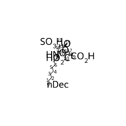 CCCCCCCCCCCCCCCCCCNC(=O)CC(C(=O)OCC(C(=O)O)C(=O)O)S(=O)(=O)O